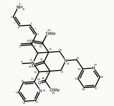 C=C(/C=C\C=C/N)C1N(C)C(c2ccccn2)C2(C(=O)OC)CN(Cc3ccccn3)CC1(C(=O)OC)C2=O